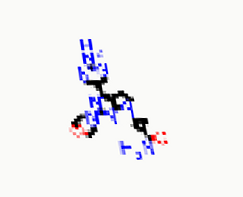 Nc1ncc(-c2nc(N3CCOCC3)nc3c2CCN3[C@H]2C[C@H](C(N)=O)C2)cn1